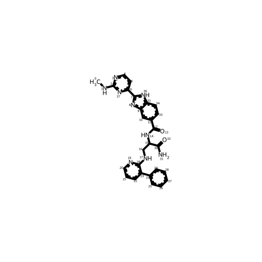 CNc1nccc(-c2nc3cc(C(=O)NC(CNc4ncccc4-c4ccccc4)C(N)=O)ccc3[nH]2)n1